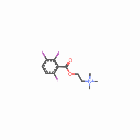 C[N+](C)(C)CCOC(=O)c1c(I)ccc(I)c1I